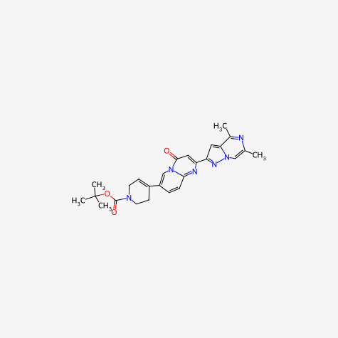 Cc1cn2nc(-c3cc(=O)n4cc(C5=CCN(C(=O)OC(C)(C)C)CC5)ccc4n3)cc2c(C)n1